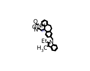 CCc1c(C)c2ccccc2n1Cc1ccc2c(c1)CCc1ccccc1/C2=C\c1noc(=O)[nH]1